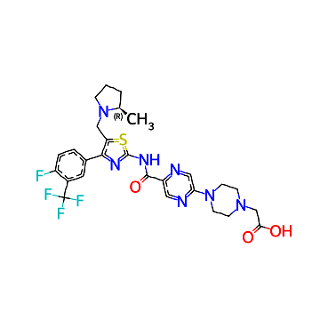 C[C@@H]1CCCN1Cc1sc(NC(=O)c2cnc(N3CCN(CC(=O)O)CC3)cn2)nc1-c1ccc(F)c(C(F)(F)F)c1